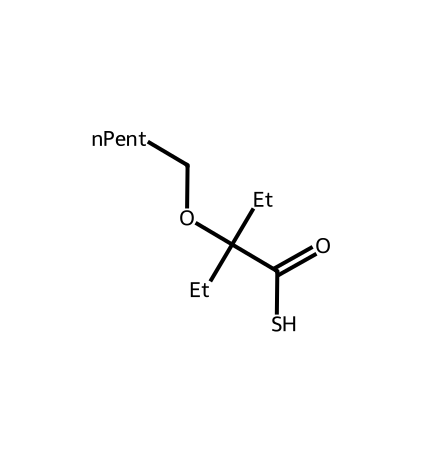 CCCCCCOC(CC)(CC)C(=O)S